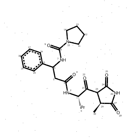 CC(C)[C@H](NC(=O)CC(NC(=O)N1CCCC1)c1ccccc1)C(=O)C1C(=O)NC(=O)[C@H]1C